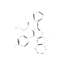 CCCC(C(=O)O)c1c(-c2ccccc2)nc2[nH]c3c(c2c1-c1ccc(C)cc1)CCCC3